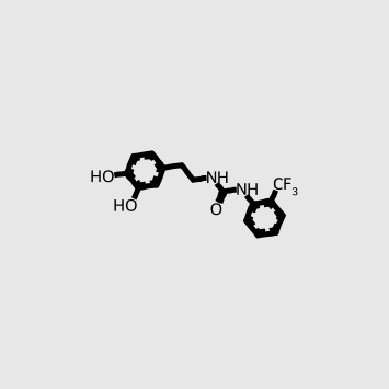 O=C(NCCc1ccc(O)c(O)c1)Nc1ccccc1C(F)(F)F